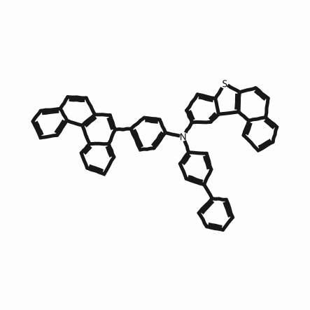 c1ccc(-c2ccc(N(c3ccc(-c4cc5ccc6ccccc6c5c5ccccc45)cc3)c3ccc4sc5ccc6ccccc6c5c4c3)cc2)cc1